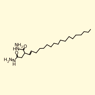 CCCCCCCCCCCCCCCCC=CC(CC(=O)NN)C(=O)NN